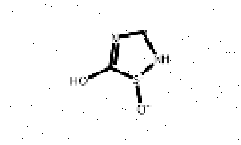 [O-][S+]1N[C]N=C1O